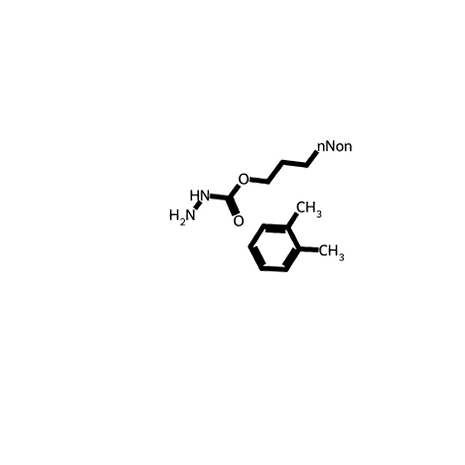 CCCCCCCCCCCCOC(=O)NN.Cc1ccccc1C